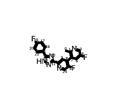 Cc1ncc(F)cc1-c1cc(-c2n[nH]c(-c3ccc(F)cc3)n2)ncc1F